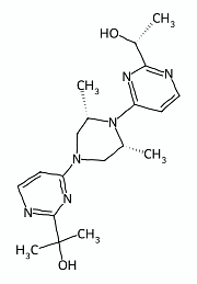 C[C@@H]1CN(c2ccnc(C(C)(C)O)n2)C[C@H](C)N1c1ccnc([C@@H](C)O)n1